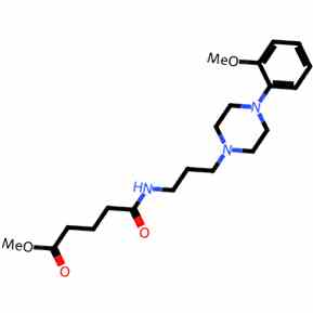 COC(=O)CCCC(=O)NCCCN1CCN(c2ccccc2OC)CC1